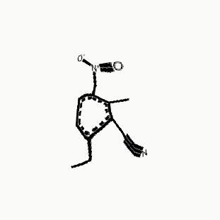 CCc1ccc([N+](=O)[O-])c(C)c1C#N